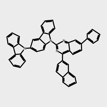 c1ccc(-c2ccc3c(-c4ccc5ccccc5c4)nc(-n4c5ccccc5c5cc(-n6c7ccccc7c7ccccc76)ccc54)nc3c2)cc1